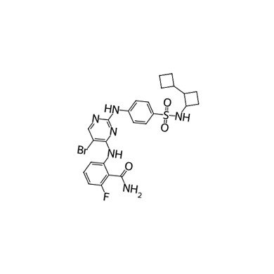 NC(=O)c1c(F)cccc1Nc1nc(Nc2ccc(S(=O)(=O)NC3CCC3C3CCC3)cc2)ncc1Br